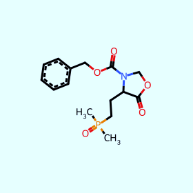 CP(C)(=O)CCC1C(=O)OCN1C(=O)OCc1ccccc1